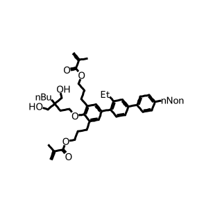 C=C(C)C(=O)OCCCc1cc(-c2ccc(-c3ccc(CCCCCCCCC)cc3)cc2CC)cc(CCCOC(=O)C(=C)C)c1OCCC(CO)(CO)CCCC